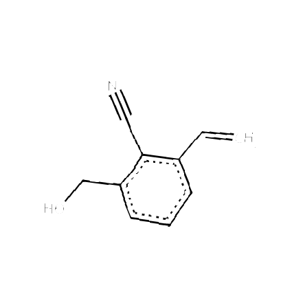 C=[C]c1cccc(CO)c1C#N